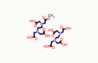 COC(=O)CN(CCN(CC(=O)O)CC(=O)O)CC(=O)O.O=C(O)CN(CCN(CC(=O)O)CC(=O)O)CC(=O)O